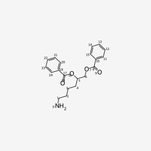 NCCCCC(COC(=O)c1ccccc1)OC(=O)c1ccccc1